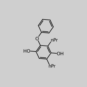 CCCc1cc(O)c(Oc2ccccc2)c(CCC)c1O